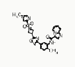 Cc1ccc(-c2noc(C3CN(S(=O)(=O)c4cn(C)cn4)C3)n2)cc1NC(=O)c1cnc2ccccn12